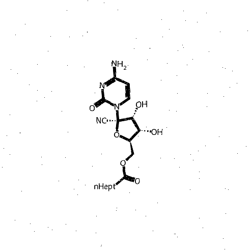 CCCCCCCC(=O)OC[C@H]1O[C@@](C#N)(n2ccc(N)nc2=O)[C@H](O)[C@@H]1O